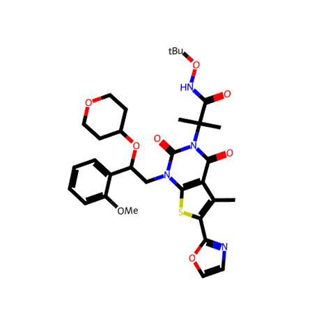 COc1ccccc1C(Cn1c(=O)n(C(C)(C)C(=O)NOC(C)(C)C)c(=O)c2c(C)c(-c3ncco3)sc21)OC1CCOCC1